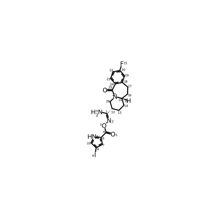 NC(=NOC(=O)c1cc(I)c[nH]1)[C@H]1CC[C@H]2CCc3cc(F)ccc3C(=O)N2C1